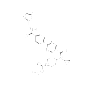 Cc1cnc(CNC(=O)c2ccc(-c3ncc(C(=O)N(C4CC4)C4CCN(C(=O)OC(C)(C)C)CC4)cn3)cc2)s1